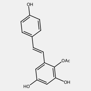 CC(=O)Oc1c(O)cc(O)cc1C=Cc1ccc(O)cc1